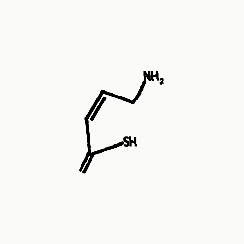 C=C(S)/C=C\CN